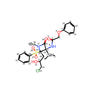 C[SiH](C)[C@@]1(NC(=O)COc2ccccc2)C(=O)N(C(C)(C)C)[C@@]1(CC(O)CCl)S(=O)(=O)c1ccccc1